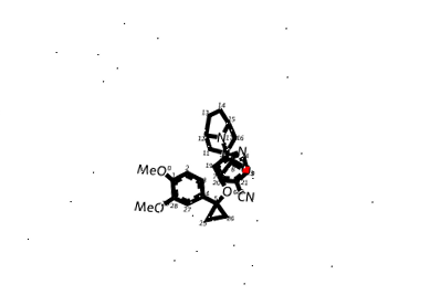 COc1ccc(C2(OCC(=O)N3CC4CCC(C3)N4c3ccc(C#N)cn3)CC2)cc1OC